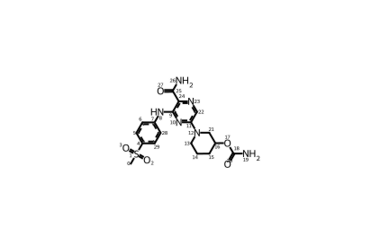 CS(=O)(=O)c1ccc(Nc2nc(N3CCCC(OC(N)=O)C3)cnc2C(N)=O)cc1